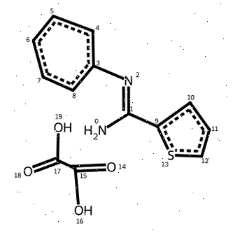 NC(=Nc1ccccc1)c1cccs1.O=C(O)C(=O)O